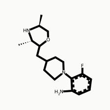 C[C@@H]1N[C@@H](C)COC1CC1CCN(c2c(N)cccc2F)CC1